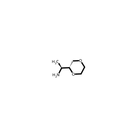 C[C@H](N)[C@@H]1COCCO1